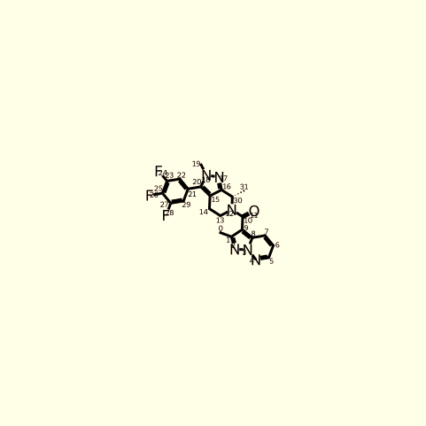 Cc1nn2ncccc2c1C(=O)N1CCc2c(nn(C)c2-c2cc(F)c(F)c(F)c2)[C@@H]1C